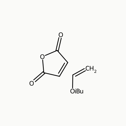 C=COCC(C)C.O=C1C=CC(=O)O1